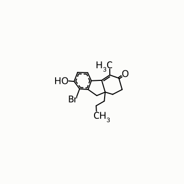 CCCC12CCC(=O)C(C)=C1c1ccc(O)c(Br)c1C2